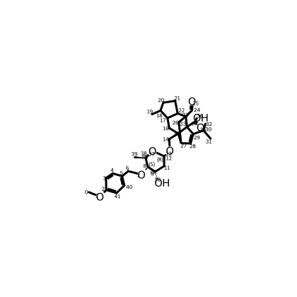 COc1ccc(CO[C@H]2[C@@H](O)C[C@H](OCC34CC5C(C)CCC5C5(C=O)CC3C=C(C(C)C)C54C(=O)O)O[C@@H]2C)cc1